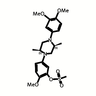 COc1ccc(N2C[C@H](C)N(c3ccc(OC)c(OS(C)(=O)=O)c3)C[C@@H]2C)cc1OC